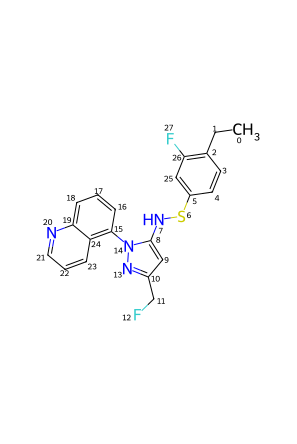 CCc1ccc(SNc2cc(CF)nn2-c2cccc3ncccc23)cc1F